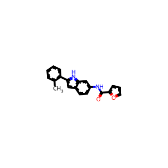 Cc1ccccc1-c1cc2ccc(NC(=O)c3ccco3)cc2[nH]1